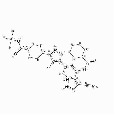 Cc1c(-c2cc(O[C@H](C)C3CCCCC3)c3c(C#N)cnn3c2)nnn1C1CCN(C(=O)OC(C)(C)C)CC1